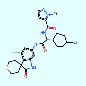 CCn1nccc1C(=O)NC(C(=O)Nc1cc(F)c2c(c1)NC(=O)C21CCOCC1)C1CCC(C)CC1